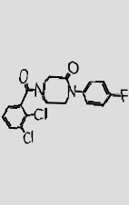 O=C(c1cccc(Cl)c1Cl)N1CCN(c2ccc(F)cc2)C(=O)C1